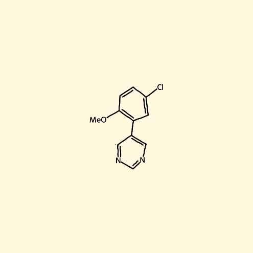 COc1ccc(Cl)cc1-c1[c]ncnc1